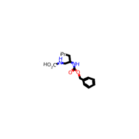 CC(C)CC(CNC(=O)O)NC(=O)OCc1ccccc1